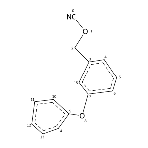 N#COCc1cccc(Oc2ccccc2)c1